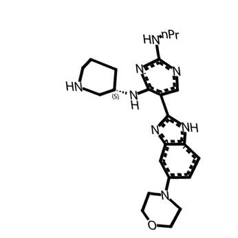 CCCNc1ncc(-c2nc3cc(N4CCOCC4)ccc3[nH]2)c(N[C@H]2CCCNC2)n1